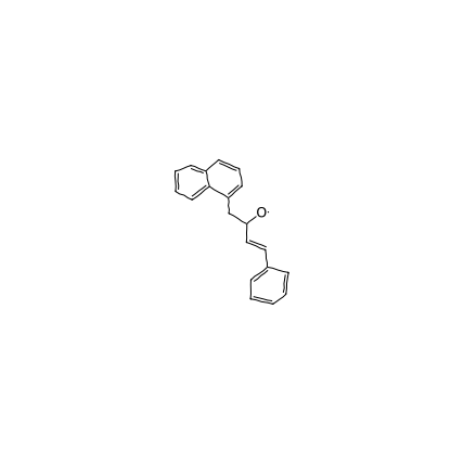 [O]C(C=Cc1ccccc1)Cc1cccc2ccccc12